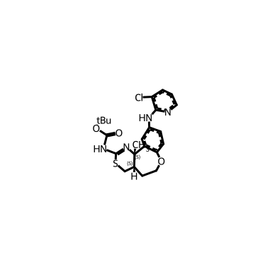 CC(C)(C)OC(=O)NC1=N[C@]2(C)c3cc(Nc4ncccc4Cl)ccc3OCC[C@@H]2CS1